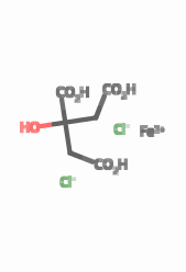 O=C(O)CC(O)(CC(=O)O)C(=O)O.[Cl-].[Cl-].[Fe+2]